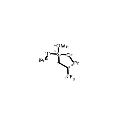 CO[Si](CCC(F)(F)F)(OC(C)C)OC(C)C